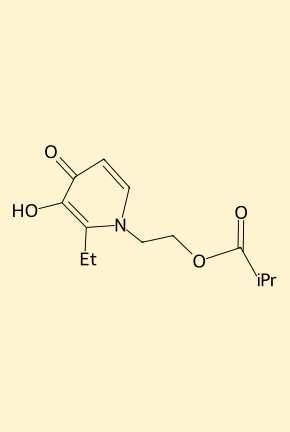 CCc1c(O)c(=O)ccn1CCOC(=O)C(C)C